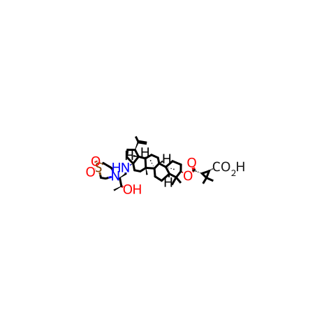 C=C(C)[C@@H]1CC[C@]2(NC[C@@H]([C@H](C)O)N3CCS(=O)(=O)CC3)CC[C@]3(C)[C@H](CC[C@@H]4[C@@]5(C)CC[C@H](OC(=O)[C@@H]6[C@H](C(=O)O)C6(C)C)C(C)(C)[C@@H]5CC[C@]43C)[C@@H]12